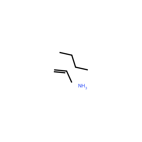 C=CC.CCCC.N